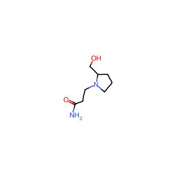 NC(=O)CCN1CCCC1CO